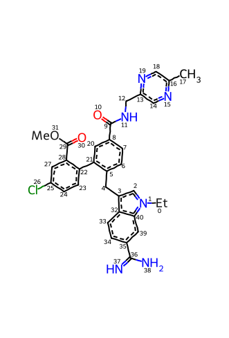 CCn1cc(Cc2ccc(C(=O)NCc3cnc(C)cn3)cc2-c2ccc(Cl)cc2C(=O)OC)c2ccc(C(=N)N)cc21